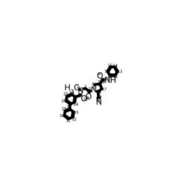 CN(CC(=O)N1CC(C(=O)Nc2ccccc2)CC1C#N)C(=O)c1cccc(-c2ccccc2)c1